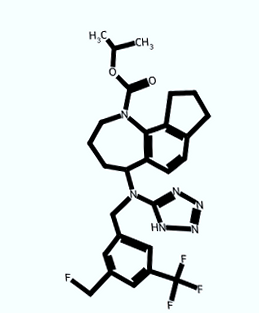 CC(C)OC(=O)N1CCCC(N(Cc2cc(CF)cc(C(F)(F)F)c2)c2nnn[nH]2)c2ccc3c(c21)CCC3